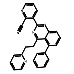 N#Cc1ncccc1-c1nc(CCc2ccccn2)c2c(-c3ccccc3)cccc2n1